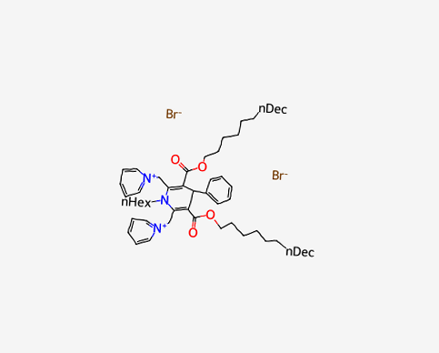 CCCCCCCCCCCCCCCCOC(=O)C1=C(C[n+]2ccccc2)N(CCCCCC)C(C[n+]2ccccc2)=C(C(=O)OCCCCCCCCCCCCCCCC)C1c1ccccc1.[Br-].[Br-]